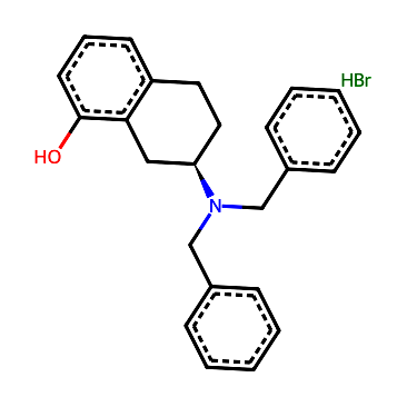 Br.Oc1cccc2c1C[C@H](N(Cc1ccccc1)Cc1ccccc1)CC2